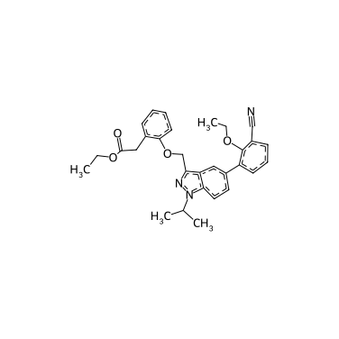 CCOC(=O)Cc1ccccc1OCc1nn(C(C)C)c2ccc(-c3cccc(C#N)c3OCC)cc12